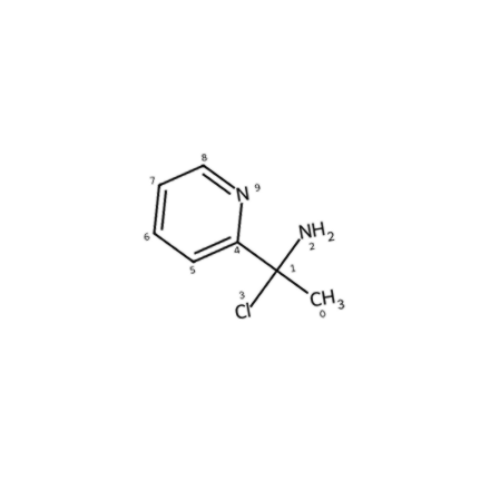 CC(N)(Cl)c1ccccn1